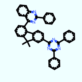 CC1(C)c2cc(-c3nc(-c4ccccc4)nc(-c4ccccc4)n3)ccc2-c2c(-c3nc(-c4ccccc4)nc4ccccc34)cccc21